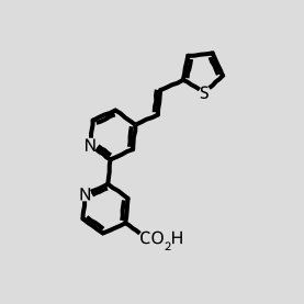 O=C(O)c1ccnc(-c2cc(/C=C/c3cccs3)ccn2)c1